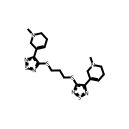 CN1CCC=C(c2nsnc2SCCCSc2nsnc2C2=CCCN(C)C2)C1